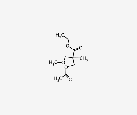 CCOC(=O)C(C)(COC)COC(C)=O